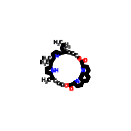 C/C=C/C1(C)CCCOC(=O)c2ccc3ccc4ccc(nc4c3n2)C(=O)OCCCC(C)c2ccc([nH]2)C(C)(C)c2ccc1[nH]2